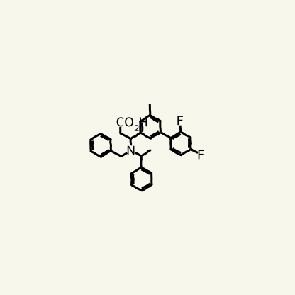 Cc1cc(-c2ccc(F)cc2F)cc(C(CC(=O)O)N(Cc2ccccc2)C(C)c2ccccc2)c1